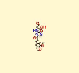 COc1ccc(C=CC(=O)c2cncc(NC(CC=O)C(=O)O)n2)cc1OC